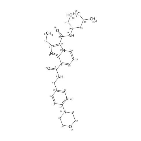 CCc1nc2c(C(=O)NCc3ccc(N4CCOCC4)nc3)cccn2c1C(=O)N[C@H](CO)CC(C)C